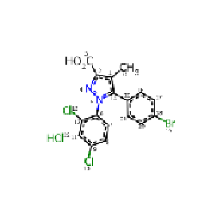 Cc1c(C(=O)O)nn(-c2ccc(Cl)cc2Cl)c1-c1ccc(Br)cc1.Cl